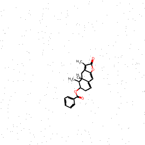 CC1=C2CC3(C)C(=CCC(OC(=O)c4ccccc4)C3C)C=C2OC1=O